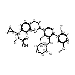 COc1cc(-c2ccc(C3CCc4ccc([C@H](C5CC5)[C@H](C)C(=O)O)cc4O3)cc2CN2[C@H](C)COC[C@H]2C)c(F)cn1